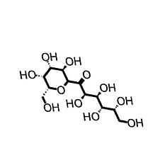 O=C(C1O[C@H](CO)[C@H](O)[C@H](O)[C@H]1O)[C@H](O)[C@@H](O)[C@@H](O)[C@H](O)CO